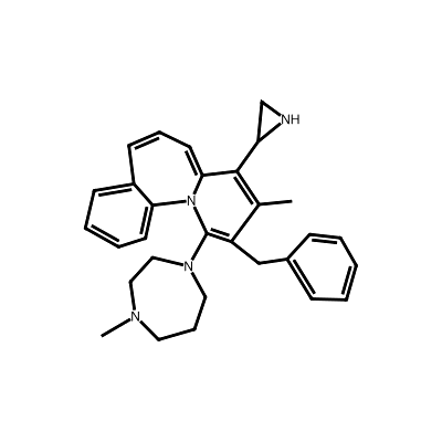 CC1=C(C2CN2)C2=CC=Cc3ccccc3N2C(N2CCCN(C)CC2)=C1Cc1ccccc1